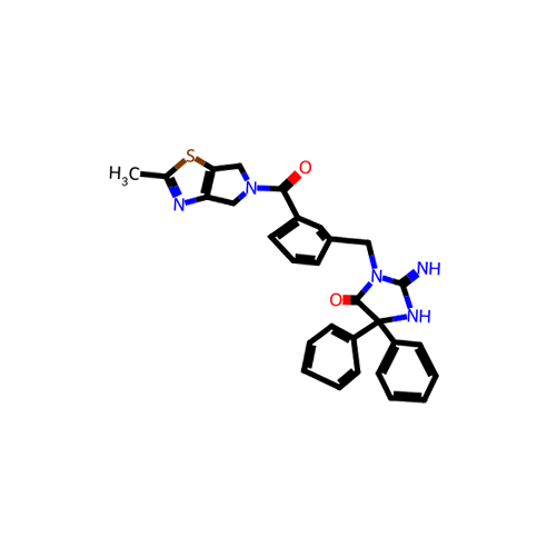 Cc1nc2c(s1)CN(C(=O)c1cccc(CN3C(=N)NC(c4ccccc4)(c4ccccc4)C3=O)c1)C2